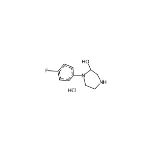 Cl.OC1CNCCN1c1ccc(F)cc1